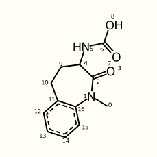 CN1C(=O)C(NC(=O)O)CCc2ccccc21